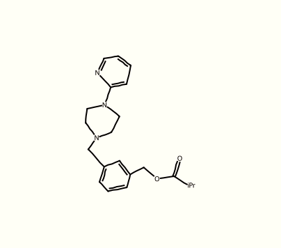 CC(C)C(=O)OCc1cccc(CN2CCN(c3ccccn3)CC2)c1